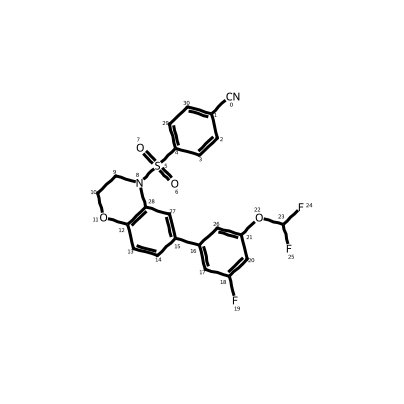 N#Cc1ccc(S(=O)(=O)N2CCOc3ccc(-c4cc(F)cc(OC(F)F)c4)cc32)cc1